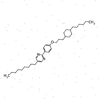 CCCCCCCCCc1cnc(-c2ccc(OCCCC3CCC(CCCCCC)CC3)cc2)nc1